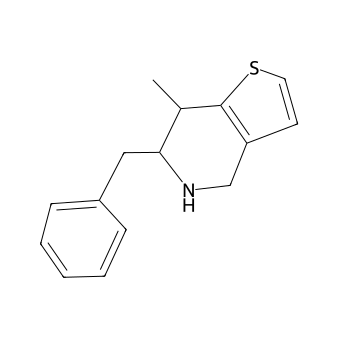 CC1c2sccc2CNC1Cc1ccccc1